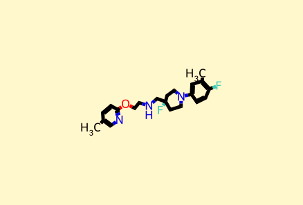 Cc1ccc(OCCNCC2(F)CCN(c3ccc(F)c(C)c3)CC2)nc1